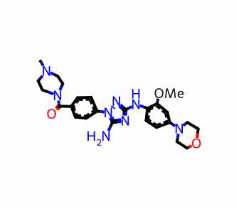 COc1cc(N2CCOCC2)ccc1Nc1nc(N)n(-c2ccc(C(=O)N3CCN(C)CC3)cc2)n1